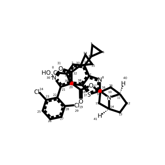 O=C(O)c1cc(C2CC2)c2nc(N3[C@@H]4CC[C@H]3CC(OC(=O)c3c(-c5c(Cl)cccc5Cl)noc3C3CC3)C4)sc2c1